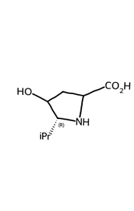 CC(C)[C@H]1NC(C(=O)O)CC1O